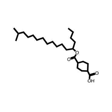 CCCCC(CCCCCCCCCCC(C)C)OC(=O)C1CCC(C(=O)O)CC1